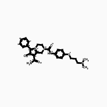 CN(C)CCCOc1ccc(NC(=O)N2CCn3c(c(C(N)=O)c(Cl)c3-c3ccccc3)C2)cc1